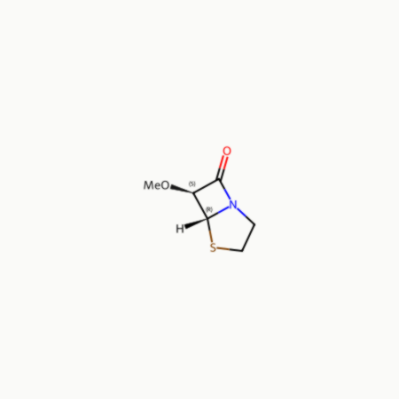 CO[C@H]1C(=O)N2CCS[C@H]12